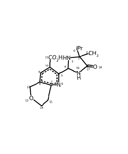 CC(C)C1(C)NC(c2nc3c(cc2C(=O)O)COCC3)NC1=O